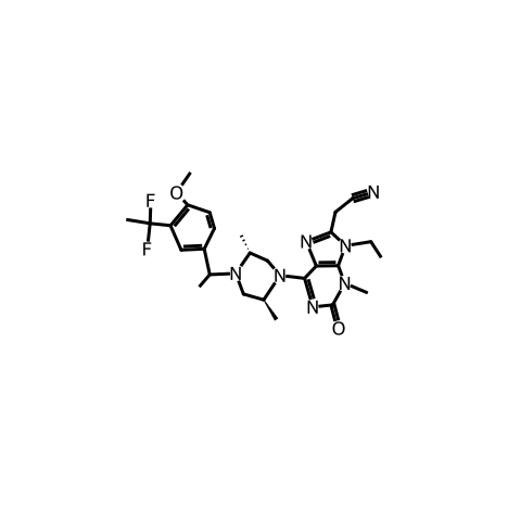 CCn1c(CC#N)nc2c(N3C[C@@H](C)N(C(C)c4ccc(OC)c(C(C)(F)F)c4)C[C@@H]3C)nc(=O)n(C)c21